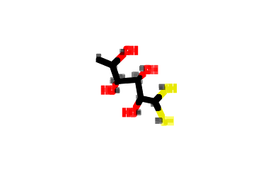 CC(O)[C@H](O)[C@@H](O)C(O)C(S)S